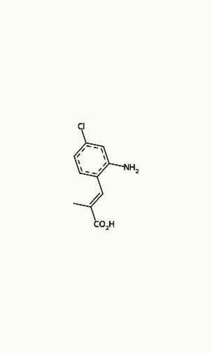 CC(=Cc1ccc(Cl)cc1N)C(=O)O